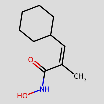 CC(=CC1CCCCC1)C(=O)NO